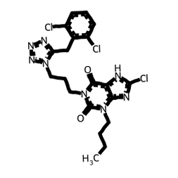 CCCCn1c(=O)n(CCCn2nnnc2Cc2c(Cl)cccc2Cl)c(=O)c2[nH]c(Cl)nc21